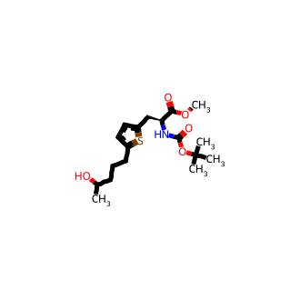 COC(=O)[C@H](Cc1ccc(CCCC(C)O)s1)NC(=O)OC(C)(C)C